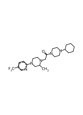 CC1CN(c2ccc(C(F)(F)F)cn2)CCN1CC(=O)N1CCN(C2CCCCC2)CC1